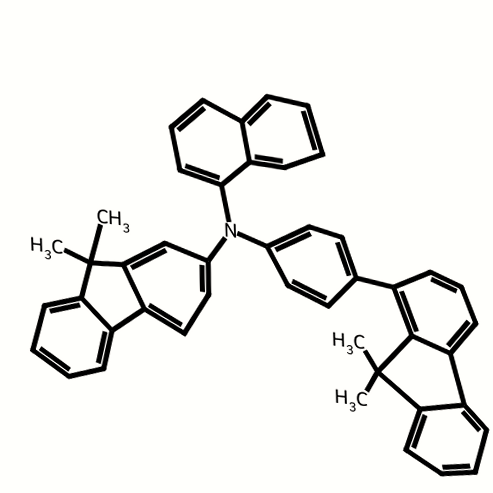 CC1(C)c2ccccc2-c2ccc(N(c3ccc(-c4cccc5c4C(C)(C)c4ccccc4-5)cc3)c3cccc4ccccc34)cc21